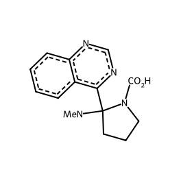 CNC1(c2ncnc3ccccc23)CCCN1C(=O)O